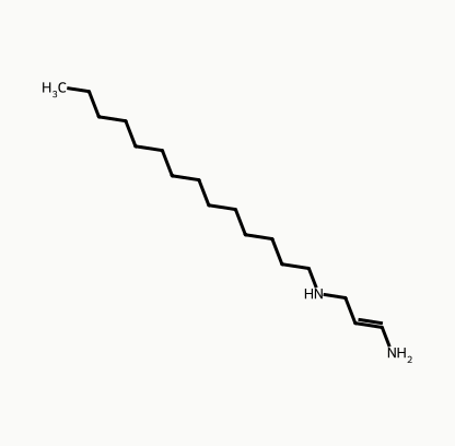 CCCCCCCCCCCCCCNCC=CN